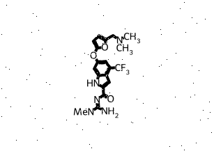 CNC(N)=NC(=O)c1cc2c(C(F)(F)F)cc(Oc3ccc(CN(C)C)o3)cc2[nH]1